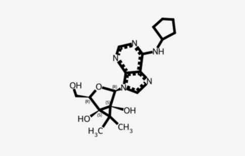 CC1(C)[C@]2(O)[C@@H](CO)O[C@@H](n3cnc4c(NC5CCCC5)ncnc43)[C@]12O